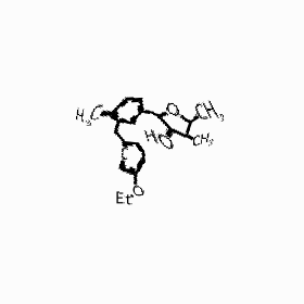 CCOc1ccc(Cc2cc(C3OC(C)C(C)C3O)ccc2C)cc1